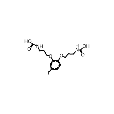 O=C(O)NCCCOc1ccc(I)cc1OCCCNC(=O)O